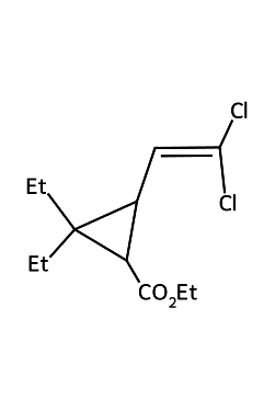 CCOC(=O)C1C(C=C(Cl)Cl)C1(CC)CC